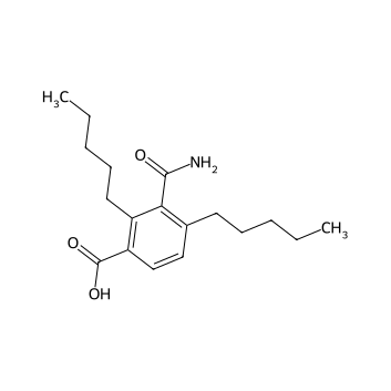 CCCCCc1ccc(C(=O)O)c(CCCCC)c1C(N)=O